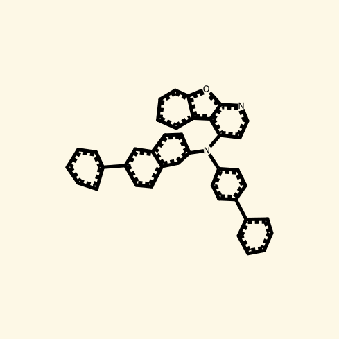 c1ccc(-c2ccc(N(c3ccc4cc(-c5ccccc5)ccc4c3)c3ccnc4oc5ccccc5c34)cc2)cc1